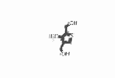 Cc1c(CO)csc1CO